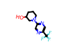 OC1CCCN(c2cnc(C(F)(F)F)cn2)C1